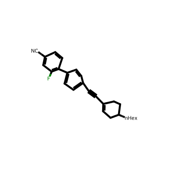 CCCCCCC1CC=C(C#Cc2ccc(-c3ccc(C#N)cc3F)cc2)CC1